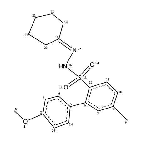 COc1ccc(-c2cc(C)ccc2S(=O)(=O)NN=C2CCCCC2)cc1